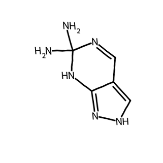 NC1(N)N=Cc2c[nH]nc2N1